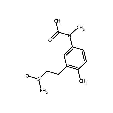 CC(=O)N(C)c1ccc(C)c(CC[S+]([O-])P)c1